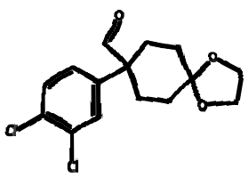 O=CC1(c2ccc(Cl)c(Cl)c2)CCC2(CC1)OCCO2